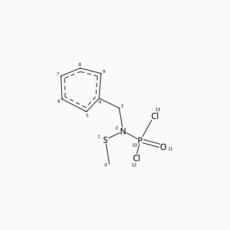 CSN(Cc1ccccc1)P(=O)(Cl)Cl